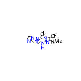 CNc1nc(Nc2cn(Cc3ncccn3)nc2C)ncc1C(F)(F)F